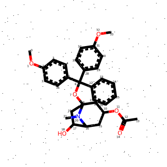 COc1ccc(C(OC23CC(OC(C)=O)CC(C(O)C2)N3C)(c2ccccc2)c2ccc(OC)cc2)cc1